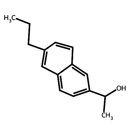 CCCc1ccc2cc(C(C)O)ccc2c1